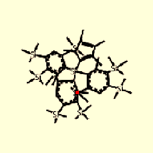 CC1=C(C)C(C)C([Si](c2c([Si](C)(C)C)cc([Si](C)(C)C)c([Si](C)(C)C)c2C)(c2c([Si](C)(C)C)cc([Si](C)(C)C)c([Si](C)(C)C)c2C)c2c([Si](C)(C)C)cc([Si](C)(C)C)c([Si](C)(C)C)c2C)=C1C